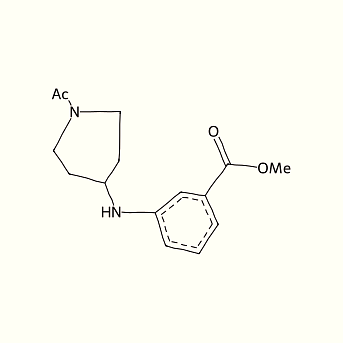 COC(=O)c1cccc(NC2CCN(C(C)=O)CC2)c1